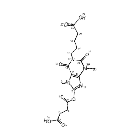 Cn1c(OC(=O)CCC(=O)O)nc2c1c(=O)n(CCCCC(=O)O)c(=O)n2C